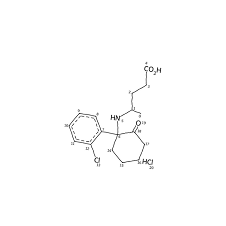 CC(CCC(=O)O)NC1(c2ccccc2Cl)CCCCC1=O.Cl